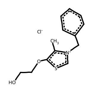 Cc1c(OCCO)sc[n+]1Cc1ccccc1.[Cl-]